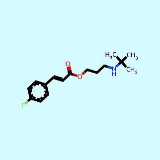 CC(C)(C)NCCCOC(=O)/C=C/c1ccc(F)cc1